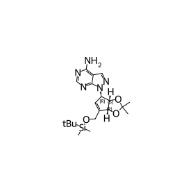 CC1(C)O[C@@H]2[C@H](O1)C(CO[Si](C)(C)C(C)(C)C)=C[C@H]2n1ncc2c(N)ncnc21